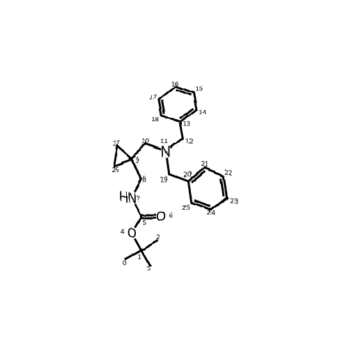 CC(C)(C)OC(=O)NCC1(CN(Cc2ccccc2)Cc2ccccc2)CC1